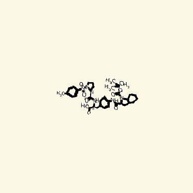 Cc1ccc(S(=O)(=O)N2CCC[C@H]2C(=O)N[C@@H](Cc2ccc(NC(=O)C3CC4CCCCC4N3C(=O)OC(C)(C)C)cc2)C(=O)O)cc1